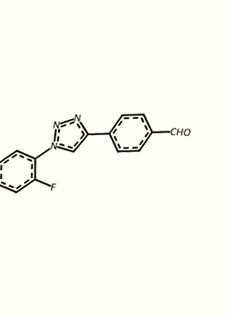 O=Cc1ccc(-c2cn(-c3ccccc3F)nn2)cc1